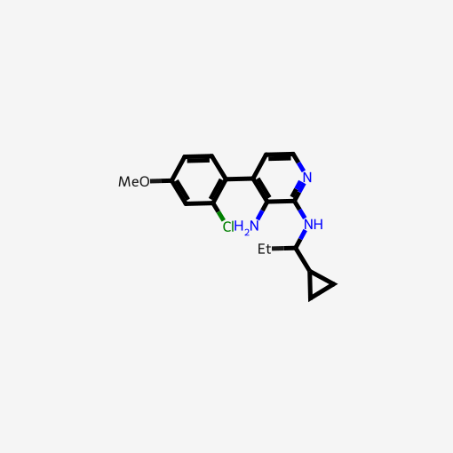 CCC(Nc1nccc(-c2ccc(OC)cc2Cl)c1N)C1CC1